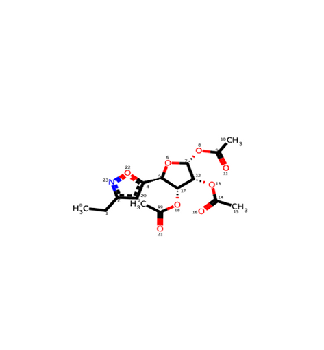 CCc1cc([C@H]2O[C@H](OC(C)=O)[C@H](OC(C)=O)[C@@H]2OC(C)=O)on1